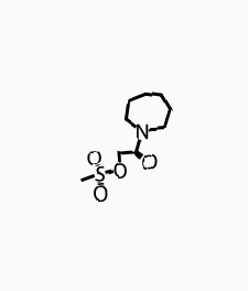 CS(=O)(=O)OCC(=O)N1CCCCCC1